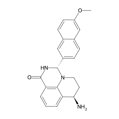 COc1ccc2cc([C@H]3NC(=O)c4cccc5c4N3CC[C@H]5N)ccc2c1